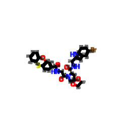 O=C(NCC(=O)N1CC2(C[C@H]1C(=O)NCc1cc3cc(Br)ccc3[nH]1)OCCO2)c1ccc2c(c1)Oc1ccccc1S2